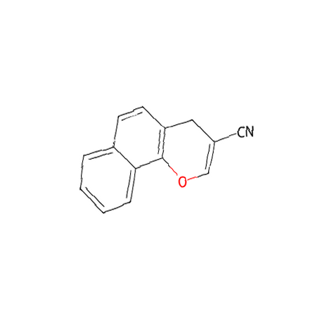 N#CC1=COc2c(ccc3ccccc23)C1